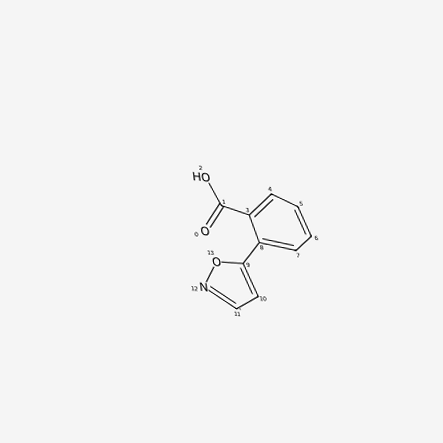 O=C(O)c1ccccc1-c1c[c]no1